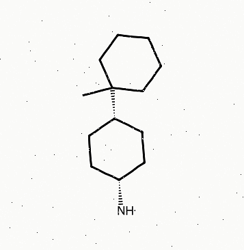 CC1([C@H]2CC[C@@H]([NH])CC2)CCCCC1